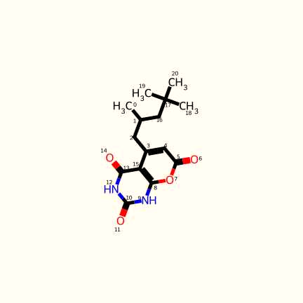 CC(Cc1cc(=O)oc2[nH]c(=O)[nH]c(=O)c12)CC(C)(C)C